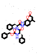 Cc1cc(=O)oc2cc(NC(=O)[C@H](Cc3ccccc3)NC(=O)[C@H](Cc3ccccc3)NC(=O)OCc3ccccc3)ccc12